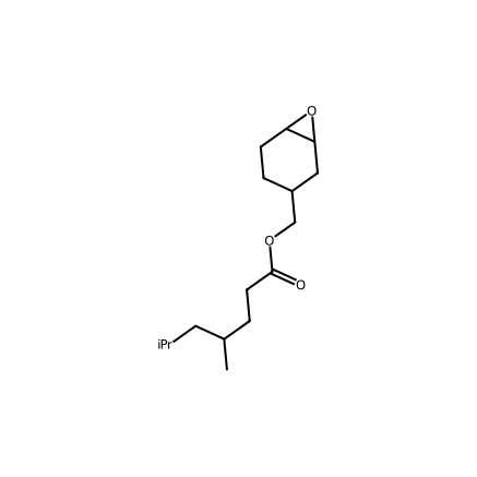 CC(C)CC(C)CCC(=O)OCC1CCC2OC2C1